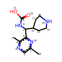 Cc1cnc(C)c(C(NC(=O)O)C2CCNCC2)n1